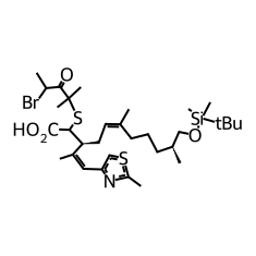 C/C(=C/C[C@@H](/C(C)=C\c1csc(C)n1)C(SC(C)(C)C(=O)C(C)Br)C(=O)O)CCC[C@H](C)CO[Si](C)(C)C(C)(C)C